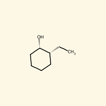 CC[C@@H]1CCCC[C@@H]1O